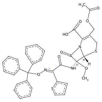 CO[C@@]1(NC(=O)/C(=N/OC(c2ccccc2)(c2ccccc2)c2ccccc2)c2cccs2)C(=O)N2C(C(=O)O)=C(COC(C)=O)CS[C@@H]21